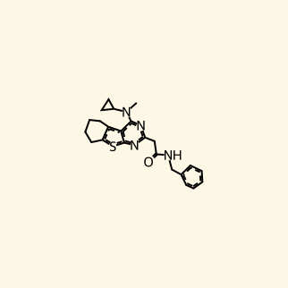 CN(c1nc(CC(=O)NCc2ccccc2)nc2sc3c(c12)CCCC3)C1CC1